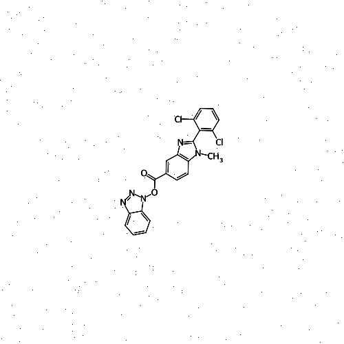 Cn1c(-c2c(Cl)cccc2Cl)nc2cc(C(=O)On3nnc4ccccc43)ccc21